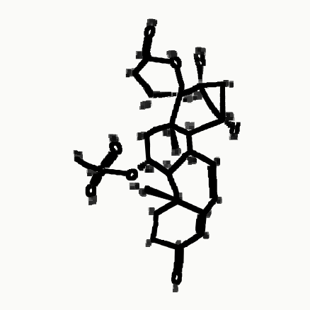 C[C@]12CCC(=O)C=C1C=CC1C2[C@H](OS(C)(=O)=O)C[C@@]2(C)C1[C@@H]1C[C@@H]1[C@@]21CCC(=O)O1